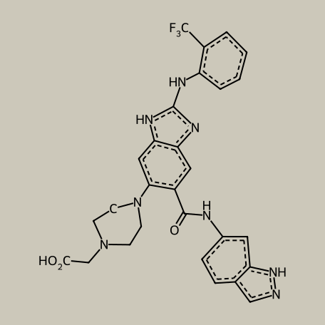 O=C(O)CN1CCN(c2cc3[nH]c(Nc4ccccc4C(F)(F)F)nc3cc2C(=O)Nc2ccc3cn[nH]c3c2)CC1